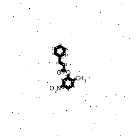 Cc1ccc([N+](=O)[O-])cc1OC(=O)C=Cc1ccccc1